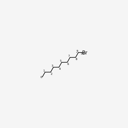 CCCCCCCCC[CH]Br